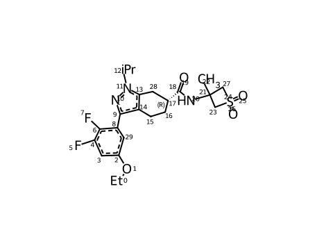 CCOc1cc(F)c(F)c(-c2nn(C(C)C)c3c2CC[C@@H](C(=O)NC2(C)CS(=O)(=O)C2)C3)c1